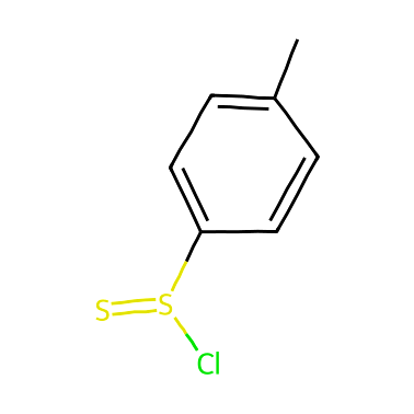 Cc1ccc(S(=S)Cl)cc1